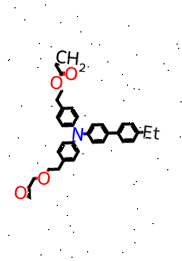 C=CC(=O)OCCc1ccc(N(c2ccc(CCOCC3CO3)cc2)c2ccc(-c3ccc(CC)cc3)cc2)cc1